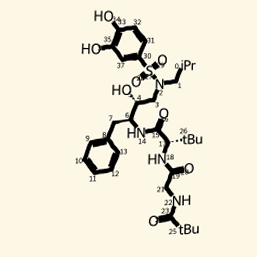 CC(C)CN(C[C@@H](O)[C@H](Cc1ccccc1)NC(=O)[C@@H](NC(=O)CNC(=O)C(C)(C)C)C(C)(C)C)S(=O)(=O)c1ccc(O)c(O)c1